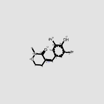 CC(C)c1cc(/C=C2/CCON(C)C2=O)cc(C(C)C)c1O